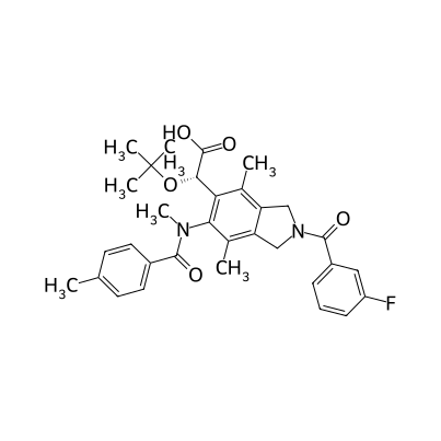 Cc1ccc(C(=O)N(C)c2c(C)c3c(c(C)c2[C@H](OC(C)(C)C)C(=O)O)CN(C(=O)c2cccc(F)c2)C3)cc1